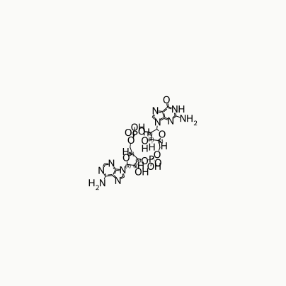 Nc1nc2c(ncn2C2O[C@@H]3COP(=O)(O)O[C@H]4[C@@H](O)[C@H](n5cnc6c(N)ncnc65)O[C@@H]4COP(=O)(O)O[C@@H]2[C@@H]3O)c(=O)[nH]1